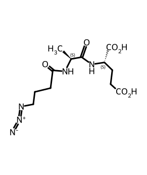 C[C@H](NC(=O)CCCN=[N+]=[N-])C(=O)N[C@@H](CCC(=O)O)C(=O)O